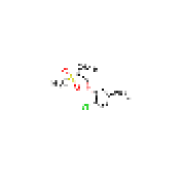 COC(COc1cc([N+](=O)[O-])ccc1Cl)S(C)(=O)=O